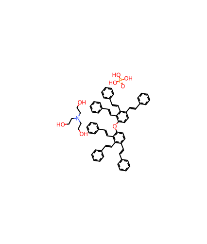 C(=Cc1ccc(Oc2ccc(C=Cc3ccccc3)c(C=Cc3ccccc3)c2C=Cc2ccccc2)c(C=Cc2ccccc2)c1C=Cc1ccccc1)c1ccccc1.O=P(O)(O)O.OCCN(CCO)CCO